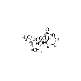 CC=C(C)C.O=C(O)O.O=C1CCCCCO1